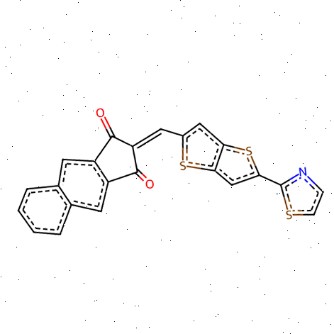 O=C1C(=Cc2cc3sc(-c4nccs4)cc3s2)C(=O)c2cc3ccccc3cc21